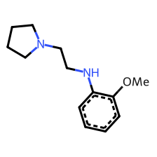 COc1ccccc1NCCN1CCCC1